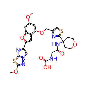 COc1cc(OCc2csc(C3(NC(=O)CNC(=O)O)CCOCC3)n2)c2cc(-c3cn4nc(OC)sc4n3)oc2c1